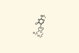 CC[C@H]1O[C@H](n2cnc(N)nc2=O)CC1C